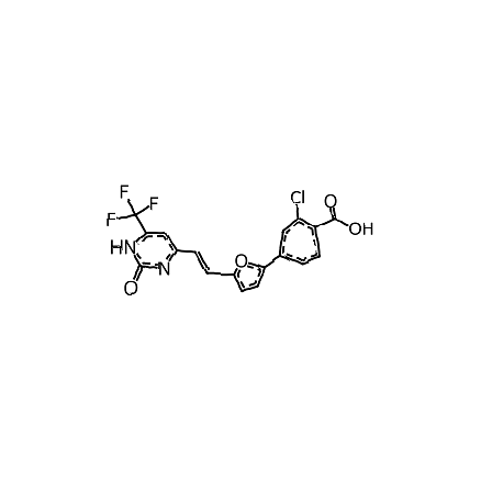 O=C(O)c1ccc(-c2ccc(C=Cc3cc(C(F)(F)F)[nH]c(=O)n3)o2)cc1Cl